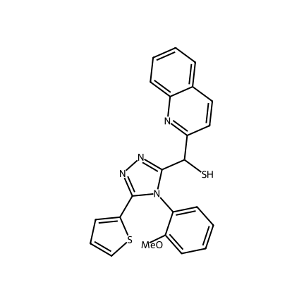 COc1ccccc1-n1c(-c2cccs2)nnc1C(S)c1ccc2ccccc2n1